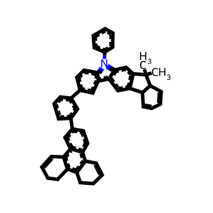 CC1(C)c2cc3c(cc2C2C=CC=CC21)c1cc(-c2cccc(-c4ccc5c6c(c7c(c5c4)C=CCC7)CCC=C6)c2)ccc1n3-c1ccccc1